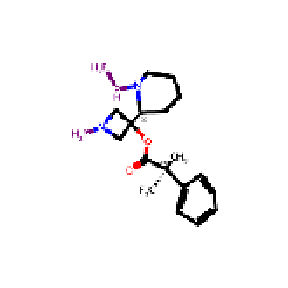 C[C@](C(=O)OC1([C@@H]2CCCCN2PP)CN(P)C1)(c1ccccc1)C(F)(F)F